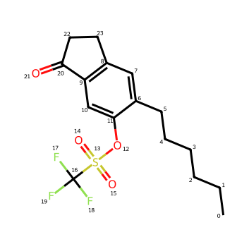 CCCCCCc1cc2c(cc1OS(=O)(=O)C(F)(F)F)C(=O)CC2